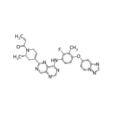 C=CC(=O)N1CC=C(c2ncc3ncnc(Nc4ccc(Oc5ccn6ncnc6c5)c(C)c4F)c3n2)C[C@H]1C